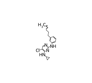 CSCCCc1cccc(Nc2ncc(Cl)c(NC3CC3)n2)c1